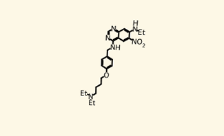 CCNc1cc2ncnc(NCc3ccc(OCCCCN(CC)CC)cc3)c2cc1[N+](=O)[O-]